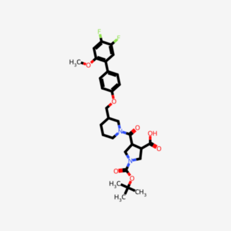 COc1cc(F)c(F)cc1-c1ccc(OCC2CCCN(C(=O)C3CN(C(=O)OC(C)(C)C)CC3C(=O)O)C2)cc1